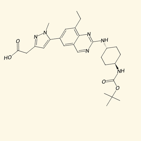 CCc1cc(-c2cc(CC(=O)O)nn2C)cc2cnc(N[C@H]3CC[C@H](NC(=O)OC(C)(C)C)CC3)nc12